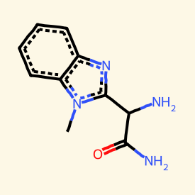 Cn1c(C(N)C(N)=O)nc2ccccc21